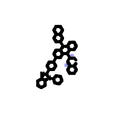 C=c1cccc/c1=C/C(=C\C)c1c2ccccc2c(-c2ccc3ccccc3c2)c2ccc(-c3ccc(-c4nc5ccccc5n4-c4ccccc4)cc3)cc12